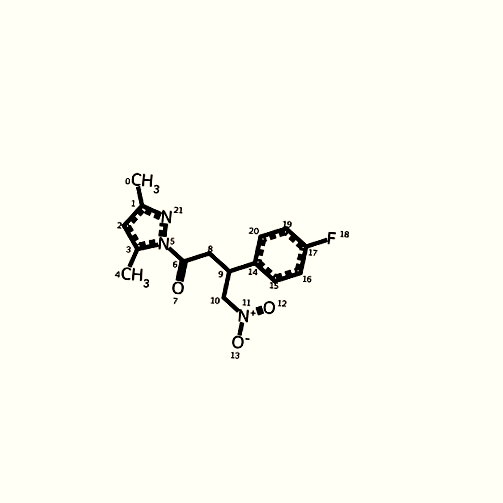 Cc1cc(C)n(C(=O)CC(C[N+](=O)[O-])c2ccc(F)cc2)n1